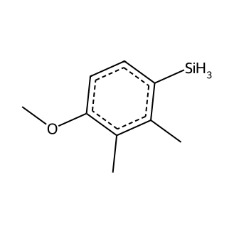 COc1ccc([SiH3])c(C)c1C